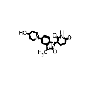 Cn1c(=O)n(C2CCC(=O)NC2=O)c2ccc(N3CCC(O)CC3)cc21